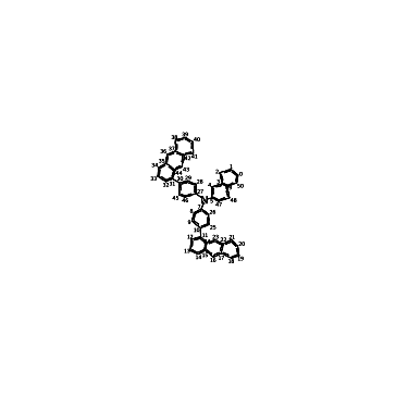 c1ccc2cc(N(c3ccc(-c4cccc5cc6ccccc6cc45)cc3)c3ccc(-c4cccc5cc6ccccc6cc45)cc3)ccc2c1